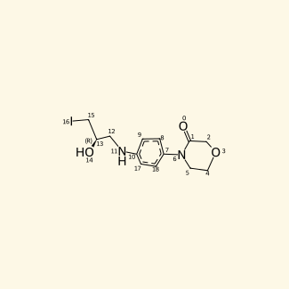 O=C1COCCN1c1ccc(NC[C@@H](O)CI)cc1